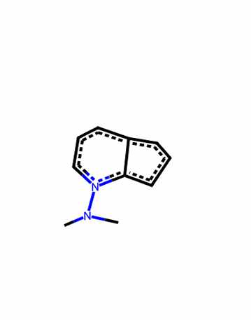 CN(C)n1cccc2cccc1-2